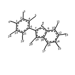 Cc1c(C)c(C)c(-c2sc3c(C)c(C)c(C)c(C)c3c2C)c(C)c1C